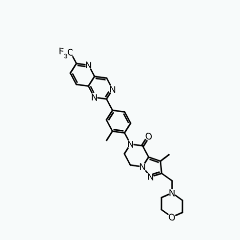 Cc1cc(-c2ncc3nc(C(F)(F)F)ccc3n2)ccc1N1CCn2nc(CN3CCOCC3)c(C)c2C1=O